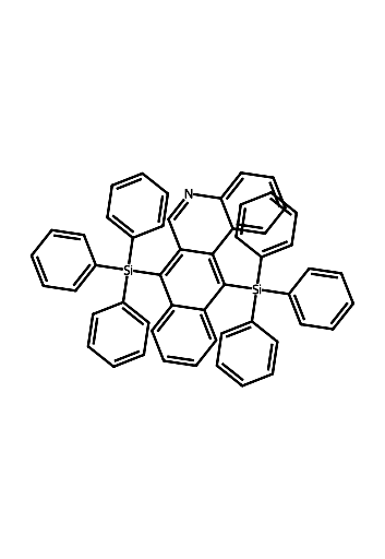 c1ccc([Si](c2ccccc2)(c2ccccc2)c2c3ccccc3c([Si](c3ccccc3)(c3ccccc3)c3ccccc3)c3c2cnc2ccccc23)cc1